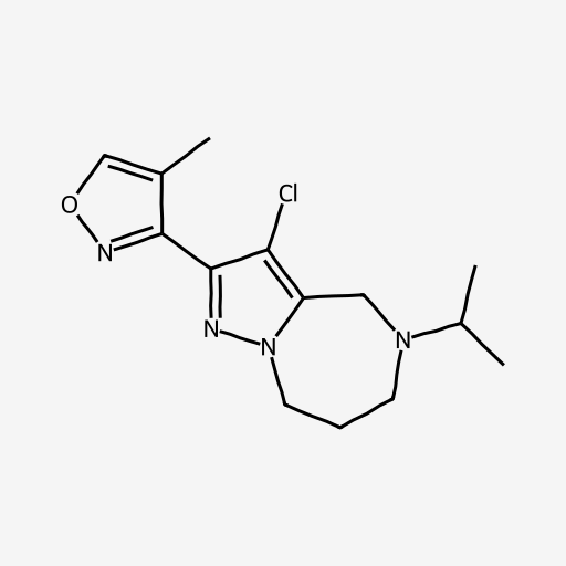 Cc1conc1-c1nn2c(c1Cl)CN(C(C)C)CCC2